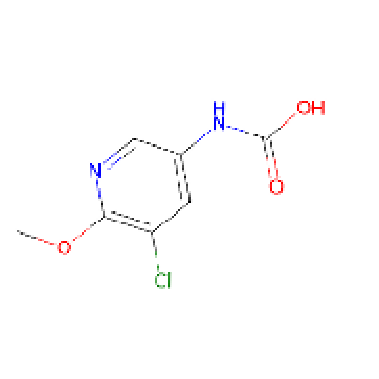 COc1ncc(NC(=O)O)cc1Cl